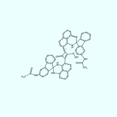 CC(=O)Nc1ccc2c(c1)-c1ccccc1C21N=c2cccc3cc/c(=C4\C(=O)C(c5ccc6cccc7c6c5NC5(N7)c6ccccc6-c6cc(NC(C)=O)ccc65)=C4OO)c(c23)N1